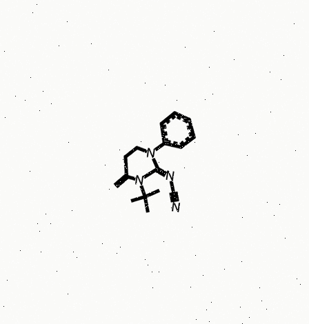 C=C1CCN(c2ccccc2)C(=NC#N)N1C(C)(C)C